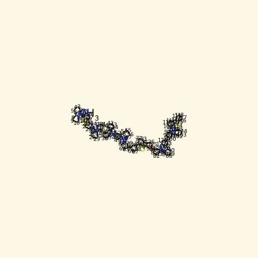 CC12C=CC=CC1c1ccccc1N2c1nccc2c1sc1ccc(-n3c4ccccc4c4c(-c5cccc6c5c5ccccc5n6-c5ccc6c(c5)c5ccccc5n6-c5cccc(-c6cccc(-c7cccc8c7sc7cc(-c9cccc(-n%10c%11ccccc%11c%11cc(-c%12ccc%13c(c%12)c%12ccccc%12n%13-c%12cccc%13c%12sc%12ccccc%12%13)ccc%11%10)c9)ccc78)c6)c5)cccc43)cc12